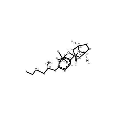 CCOC[C@@H](N)Cc1ccc(N2C[C@H]3CC[C@@H](C2)N3C(=O)OC(C)(C)C)cc1